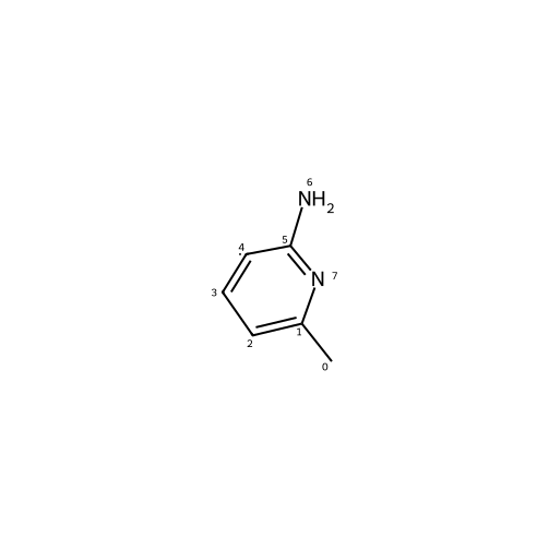 Cc1cc[c]c(N)n1